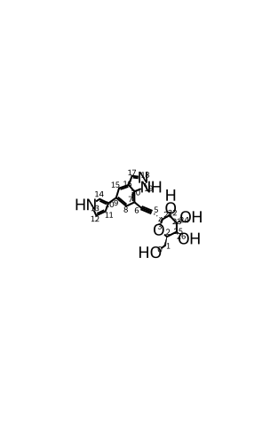 OC[C@H]1O[C@H](C#Cc2cc(-c3cc[nH]c3)cc3cn[nH]c23)[C@@H](O)[C@@H](O)[C@@H]1O